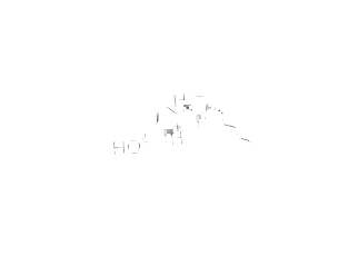 CC(C)=CC=C[C@@H](C)[C@H]1CC[C@H]2C3=CC=C4C[C@@H](O)CC[C@]4(C)[C@H]3CC[C@]12C